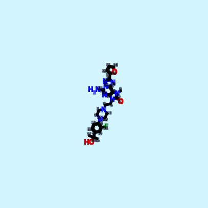 Cn1c(=O)n(CCN2CCN(c3ccc(C(C)(C)O)cc3F)CC2)c2nc(N)n3nc(-c4ccco4)nc3c21